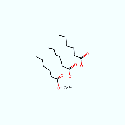 CCCCCC(=O)[O-].CCCCCC(=O)[O-].CCCCCC(=O)[O-].[Ga+3]